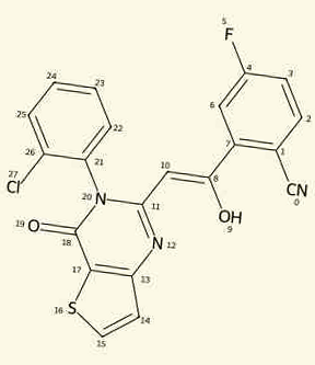 N#Cc1ccc(F)cc1/C(O)=C/c1nc2ccsc2c(=O)n1-c1ccccc1Cl